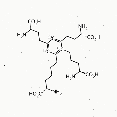 N[C@@H](CCCCc1[13cH]c(CC[C@H](N)C(=O)O)[13cH]c(CC[C@H](N)C(=O)O)[13c]1CCC[C@H](N)C(=O)O)C(=O)O